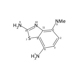 CNc1ccc(N)c2sc(N)nc12